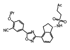 CC(=O)CCS(=O)(=O)N[C@H]1CCc2c(-c3noc(-c4ccc(OC(C)C)c(C#N)c4)n3)cccc21